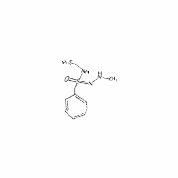 CNN=S(=O)(NC)c1ccccc1